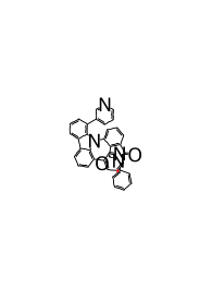 O=C1c2cccc(-n3c4c(-c5cccnc5)cccc4c4cccc(-c5cccnc5)c43)c2C(=O)N1c1ccccc1